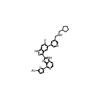 CC(=O)c1ccc(-c2nccc3[nH]c(-c4n[nH]c5cc(F)c(-c6cncc(CNCC7CCCC7)c6)cc45)nc23)s1